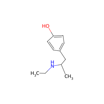 CCNC(C)Cc1ccc(O)cc1